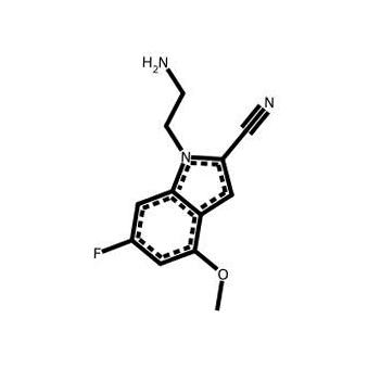 COc1cc(F)cc2c1cc(C#N)n2CCN